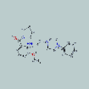 COc1cccc(C(=O)N2CCCC2)c1NCCN1CCN(c2ccccc2)CC1